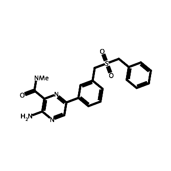 CNC(=O)c1nc(-c2cccc(CS(=O)(=O)Cc3ccccc3)c2)cnc1N